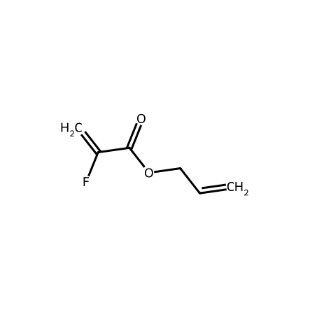 C=CCOC(=O)C(=C)F